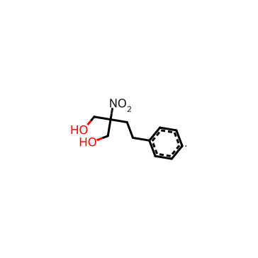 O=[N+]([O-])C(CO)(CO)CCc1cc[c]cc1